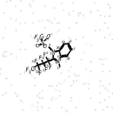 Cn1c(C(F)(F)C(F)(F)C(F)(F)C(F)(F)F)[n+](C)c2ccccc21.O=S(=O)([O-])C(F)(F)F